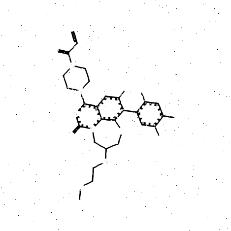 C=CC(=O)N1CCN(c2nc(=O)n3c4c(c(-c5cc(Cl)c(F)cc5F)c(Cl)cc24)SCC(NCCOC)C3)CC1